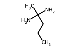 CCCC(C)(N)N